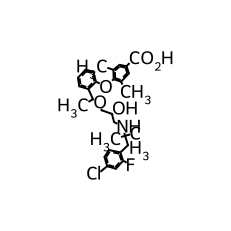 Cc1cc(C(=O)O)cc(C)c1Oc1ccccc1C(C)OC[C@@H](O)CNC(C)(C)Cc1ccc(Cl)cc1F